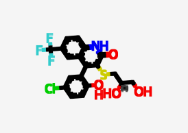 O=c1[nH]c2ccc(C(F)(F)F)cc2c(-c2cc(Cl)ccc2O)c1SC[C@H](O)CO